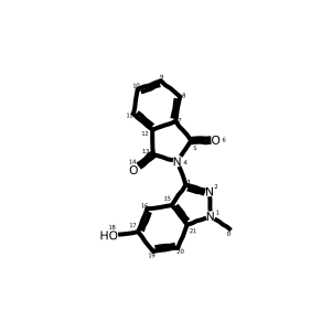 Cn1nc(N2C(=O)c3ccccc3C2=O)c2cc(O)ccc21